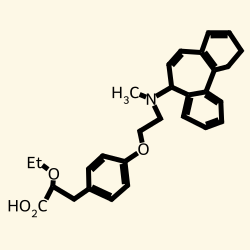 CCOC(Cc1ccc(OCCN(C)C2C=CC3=C(CCC=C3)c3ccccc32)cc1)C(=O)O